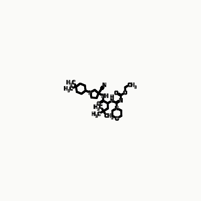 CCOC(=O)/N=C(\NC(CC(C)(C)C)C(=O)NC1(C#N)CCN(C2CCC(C)(C)CC2)C1)N1CCOCC1